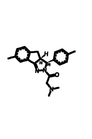 Cc1ccc([C@H]2[C@@H]3Cc4ccc(C)cc4C3=NN2C(=O)CN(C)C)cc1